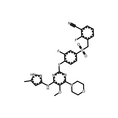 COc1c(Nc2cc(C)[nH]n2)nc(Sc2ccc(S(=O)(=O)Cc3cccc(C#N)c3F)cc2F)nc1N1CCOCC1